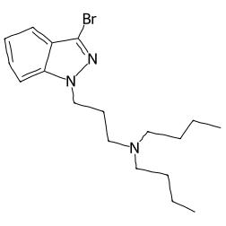 CCCCN(CCCC)CCCn1nc(Br)c2ccccc21